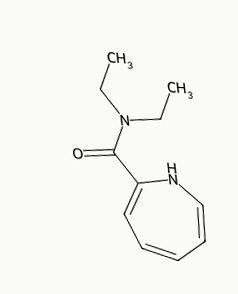 CCN(CC)C(=O)C1=CC=CC=CN1